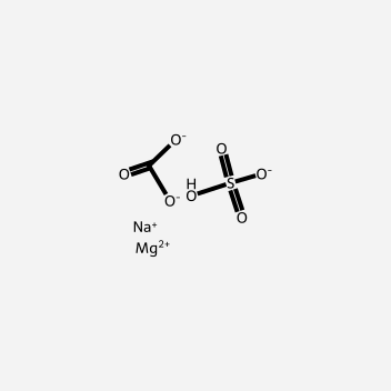 O=C([O-])[O-].O=S(=O)([O-])O.[Mg+2].[Na+]